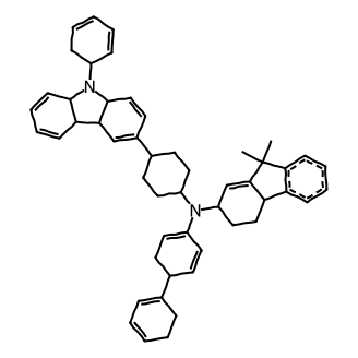 CC1(C)C2=CC(N(C3=CCC(C4=CC=CCC4)C=C3)C3CCC(C4=CC5C6C=CC=CC6N(C6C=CC=CC6)C5C=C4)CC3)CCC2c2ccccc21